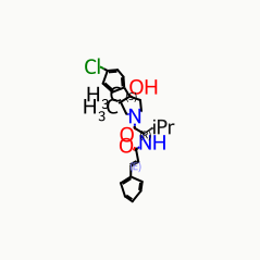 CC(C)[C@@H](NC(=O)/C=C/c1ccccc1)C(=O)N1CC[C@](O)(c2ccc(Cl)cc2)C(C)(C)C1